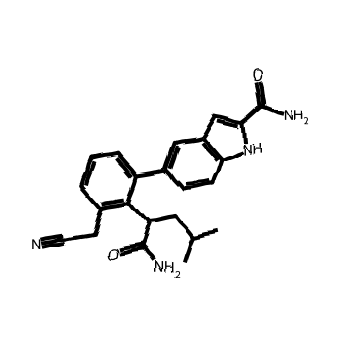 CC(C)CC(C(N)=O)c1c(CC#N)cccc1-c1ccc2[nH]c(C(N)=O)cc2c1